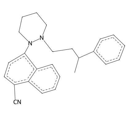 CC(CCN1CCCCN1c1ccc(C#N)c2ccccc12)c1ccccc1